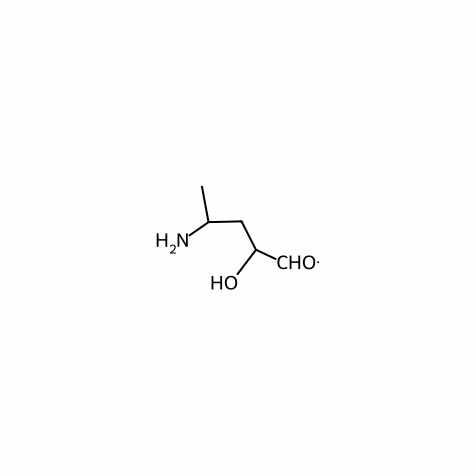 CC(N)CC(O)[C]=O